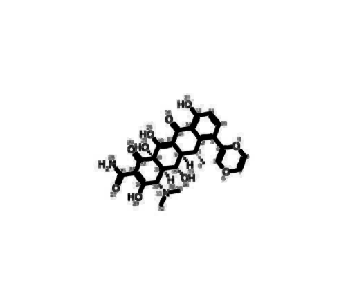 C[C@H]1c2c(C3=COC=CO3)ccc(O)c2C(=O)C2=C(O)[C@]3(O)C(=O)C(C(N)=O)=C(O)[C@@H](N(C)C)[C@@H]3[C@@H](O)[C@@H]21